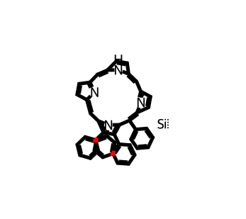 C1=Cc2cc3c(-c4ccccc4)c(-c4ccccc4)c(c(-c4ccccc4)c4nc(cc5ccc(cc1n2)[nH]5)C=C4)n3-c1ccccc1.[Si]